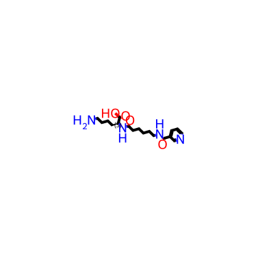 NCCCC[C@H](NC(=O)CCCCCNC(=O)c1cccnc1)C(=O)O